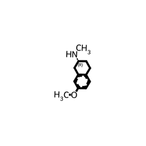 CN[C@@H]1CCc2ccc(OC)cc2C1